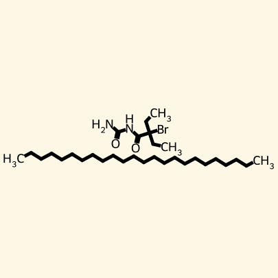 CCC(Br)(CC)C(=O)NC(N)=O.CCCCCCCCCCCCCCCCCCCCCCCC